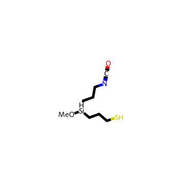 CO[SiH](CCCS)CCCN=C=O